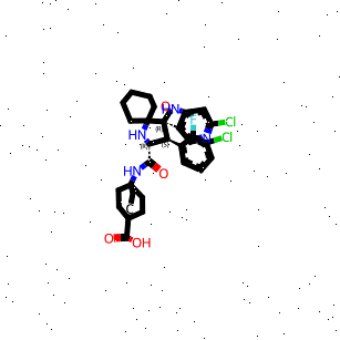 O=C(NC12CCC(C(=O)O)(CC1)CC2)[C@@H]1NC2(CCCCC2)[C@@]2(C(=O)Nc3cc(Cl)ncc32)[C@H]1c1cccc(Cl)c1F